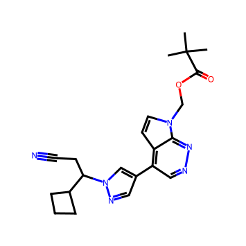 CC(C)(C)C(=O)OCn1ccc2c(-c3cnn(C(CC#N)C4CCC4)c3)cnnc21